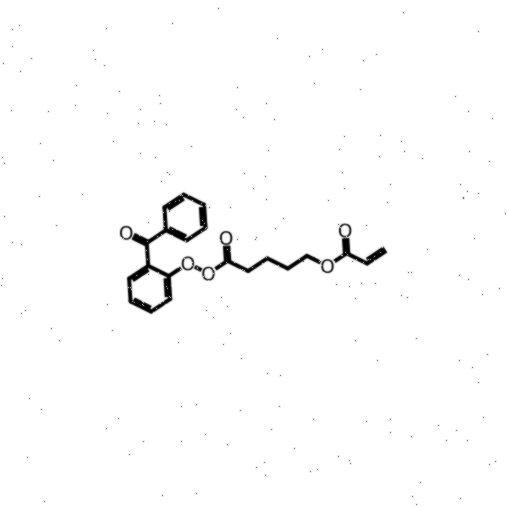 C=CC(=O)OCCCCC(=O)OOc1ccccc1C(=O)c1ccccc1